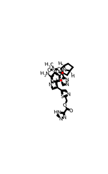 CS(=O)(=O)c1c([C@H]2C[C@H]3CC[C@@H](C2)N3C(=O)c2nnc[nH]2)nc2c(-c3cnc(COC(=O)c4nnc[nH]4)s3)cnn2c1N